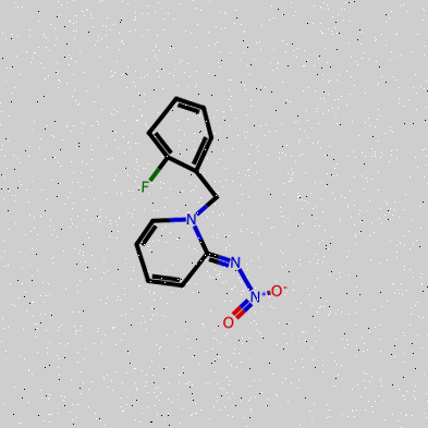 O=[N+]([O-])N=c1ccccn1Cc1ccccc1F